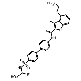 Cc1c(C(=O)Nc2ccc(-c3ccc(S(=O)(=O)NC(C(=O)O)C(C)C)cc3)cc2)oc2cccc(OCC(=O)O)c12